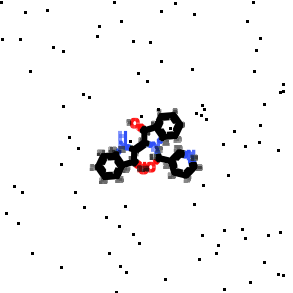 O=C1/C(=C2/C(=O)c3ccccc3N2C(O)c2cccnc2)Nc2ccccc21